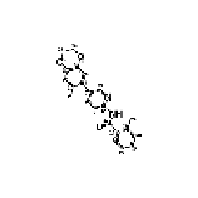 Cc1cc2c(cc1-c1ccc(NC(=O)c3ncccc3C)nc1)OCCO2